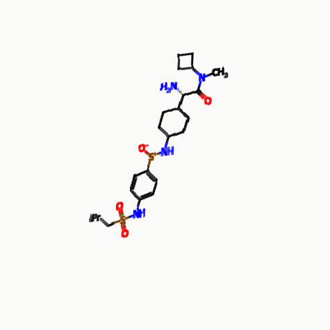 CC(C)CS(=O)(=O)Nc1ccc([S+]([O-])NC2CCC([C@H](N)C(=O)N(C)C3CCC3)CC2)cc1